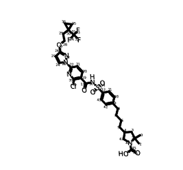 CC1(C)CC(CCCCc2ccc(S(=O)(=O)NC(=O)c3ccc(-n4ccc(OCCC5(C(F)(F)F)CC5)n4)nc3Cl)cc2)CN1C(=O)O